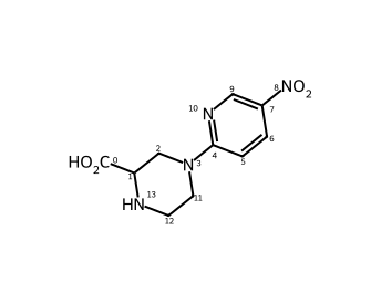 O=C(O)C1CN(c2ccc([N+](=O)[O-])cn2)CCN1